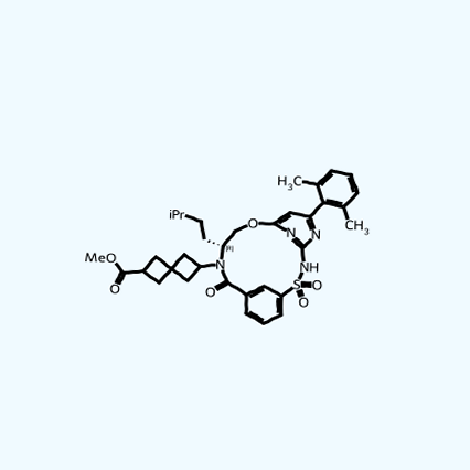 COC(=O)C1CC2(C1)CC(N1C(=O)c3cccc(c3)S(=O)(=O)Nc3nc(cc(-c4c(C)cccc4C)n3)OC[C@H]1CCC(C)C)C2